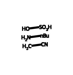 CC#N.CCCCN.O=S(=O)(O)O